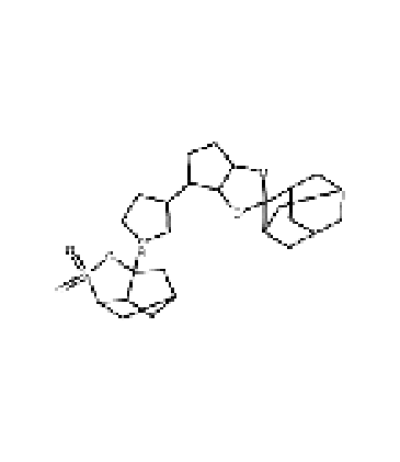 O=S1(=O)OC2([SH]3CCC(C4CCC5OC6(OC54)C4CC5CC(C4)CC6C5)C3)CC3CC2C1C3